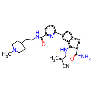 C=C(C#N)CNc1c(C(N)=O)ccc2ccc(-c3cccc(C(=O)NCCC4CCN(C)CC4)n3)cc12